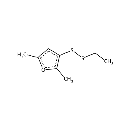 CCSSc1cc(C)oc1C